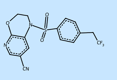 N#Cc1cnc2c(c1)N(S(=O)(=O)c1ccc(CC(F)(F)F)cc1)CCO2